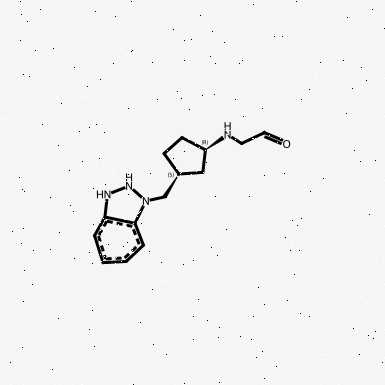 O=[C]CN[C@@H]1CC[C@H](CN2NNc3ccccc32)C1